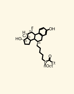 CCCCCCCCN(CCCCC[C@@H]1Cc2cc(O)ccc2C2C1C1CC[C@H](O)[C@@]1(C)C[C@@H]2F)C(=O)CC